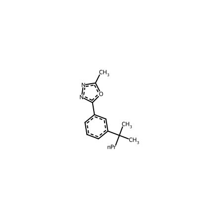 CCCC(C)(C)c1cccc(-c2nnc(C)o2)c1